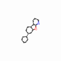 c1ccc(-c2ccc3c(c2)oc2ncccc23)cc1